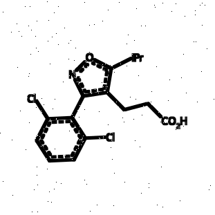 CC(C)c1onc(-c2c(Cl)cccc2Cl)c1CCC(=O)O